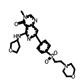 Cn1cnc2cc(-c3ccc(S(=O)(=O)CCN4CCOCC4)cc3)nc(NC3CCOC3)c2c1=O